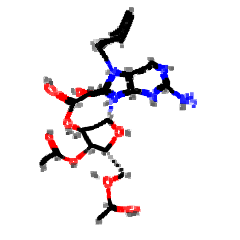 C#CCn1c(=O)n([C@@H]2O[C@H](COC(C)=O)[C@@H](OC(C)=O)[C@H]2OC(C)=O)c2nc(N)ncc21